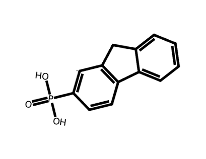 O=P(O)(O)c1[c]c2c(cc1)-c1ccccc1C2